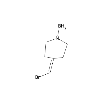 BN1CCC(=CBr)CC1